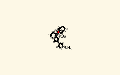 Cn1cc(-c2cc3c(N4CC5CCC(C4)N5C(=O)OC(C)(C)C)ccnn3c2)cn1